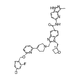 Cc1n[nH]c2ccc(NC(=O)c3ccc4c(c3)nc(CN3CC=C(c5cccc(OCc6ccc(Cl)cc6F)n5)CC3)n4C[C@@H]3CCO3)nc12